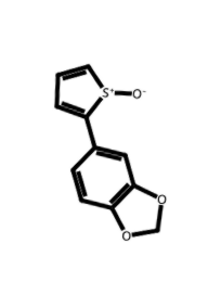 [O-][s+]1cccc1-c1ccc2c(c1)OCO2